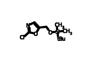 CC(C)(C)[Si](C)(C)OCc1cnc(Cl)o1